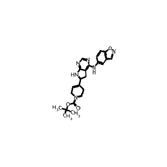 CC(C)(C)OC(=O)N1CC=C(C2Cc3c(Nc4ccc5oncc5c4)ncnc3N2)CC1